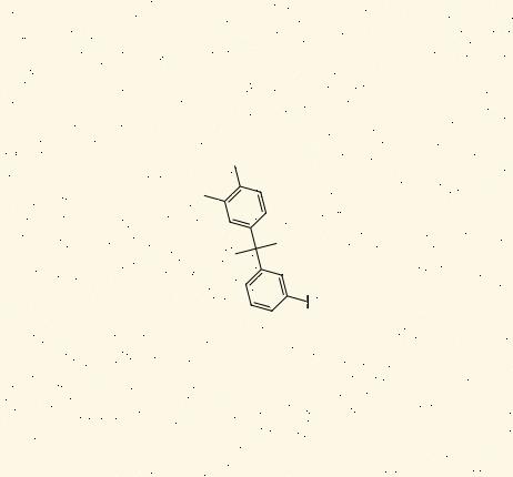 Cc1ccc(C(C)(C)c2cccc(I)c2)cc1C